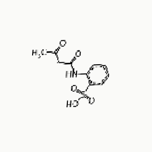 CC(=O)[CH]C(=O)Nc1ccccc1S(=O)(=O)O